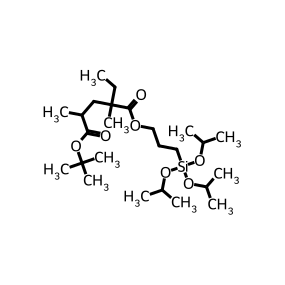 CCC(C)(CC(C)C(=O)OC(C)(C)C)C(=O)OCCC[Si](OC(C)C)(OC(C)C)OC(C)C